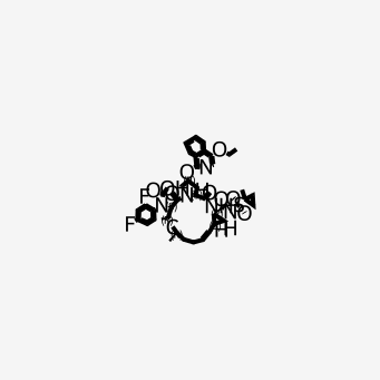 CCOc1cnc(O[C@@H]2C[C@H]3C(=O)N[C@]4(C(=O)NS(=O)(=O)C5(C)CC5)C[C@H]4C=CCC[C@@H](C)C[C@@H](C)[C@H](N(C(=O)O)c4ccc(F)cc4F)C(=O)N3C2)c2ccccc12